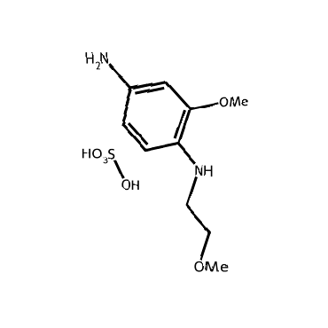 COCCNc1ccc(N)cc1OC.O=S(=O)(O)O